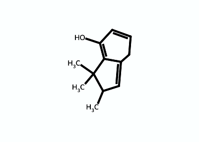 CC1C=C2CC=CC(O)=C2C1(C)C